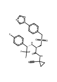 N#CC1(NC(=O)[C@H](CS(=O)(=O)Cc2ccc(-n3cncn3)cc2)N[C@@H](c2ccc(F)cc2)C(F)(F)F)CC1